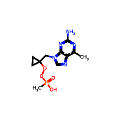 Cc1nc(N)nc2c1ncn2CC1(OOP(C)(=O)O)CC1